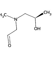 C[C@@H](O)CN(C)CC=O